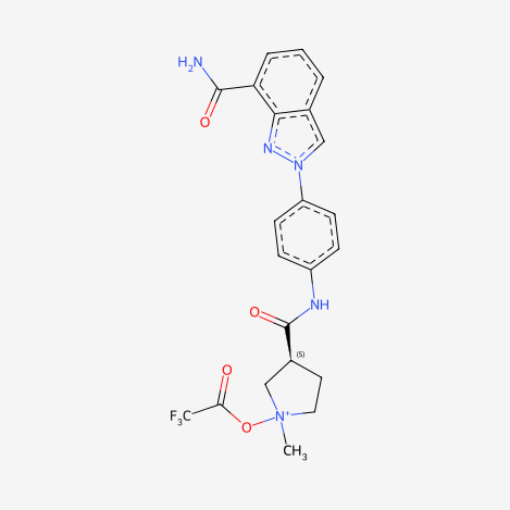 C[N+]1(OC(=O)C(F)(F)F)CC[C@H](C(=O)Nc2ccc(-n3cc4cccc(C(N)=O)c4n3)cc2)C1